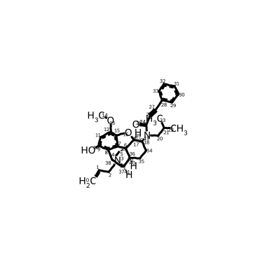 C=CCN1CC[C@]23c4c5c(O)cc(OC)c4O[C@H]2[C@@H](N(CC(C)C)C(=O)C#Cc2ccccc2)CC[C@H]3[C@H]1C5